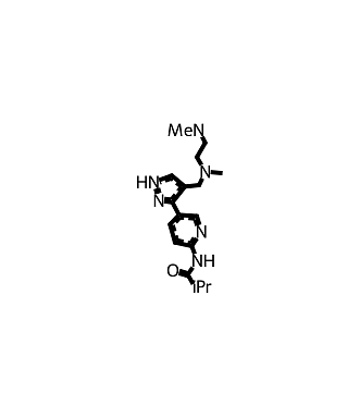 CNCCN(C)Cc1c[nH]nc1-c1ccc(NC(=O)C(C)C)nc1